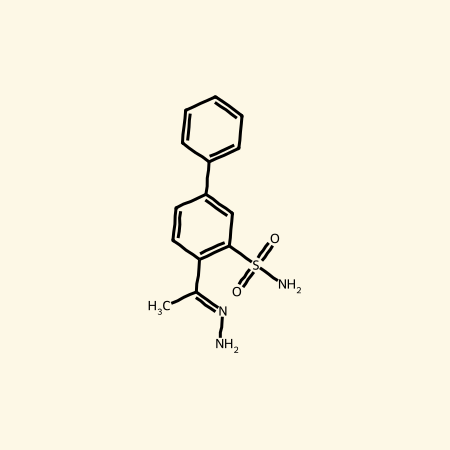 CC(=NN)c1ccc(-c2ccccc2)cc1S(N)(=O)=O